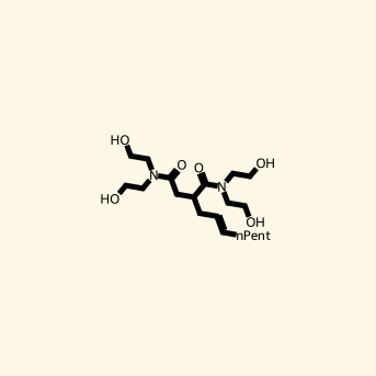 CCCCC/C=C/CC(CC(=O)N(CCO)CCO)C(=O)N(CCO)CCO